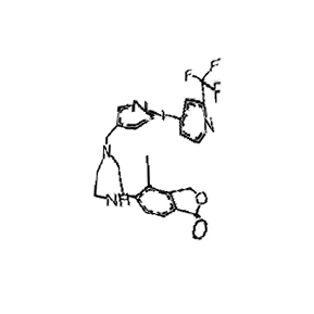 Cc1c([C@@H]2CN(Cc3cnn(-c4ccnc(C(F)(F)F)c4)c3)CCN2)ccc2c1COC2=O